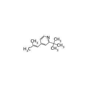 CC(C)=Cc1ccnc(C(C)(C)C)c1